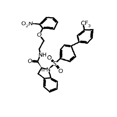 O=C(NCCOc1ccccc1[N+](=O)[O-])[C@@H]1Cc2ccccc2N1S(=O)(=O)c1ccc(-c2cccc(C(F)(F)F)c2)cc1